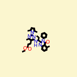 CCOC(=O)/C=C/c1c(C)nc(-n2c(C)ccc2C)nc1NC(CC)c1nc2cccc(C)c2c(=O)n1-c1ccccc1